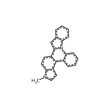 Cn1ccc2c3c4ccccc4n4c5ccccc5cc4c3ccc21